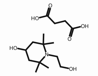 CC1(C)CC(O)CC(C)(C)N1CCO.O=C(O)CCC(=O)O